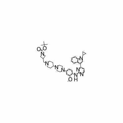 COc1cc(N2CCN(C3CCN(CC4CN(C(=O)OC(C)(C)C)C4)CC3)CC2)ccc1Nc1nccc(-c2cn(C3CC3)c3ccccc23)n1